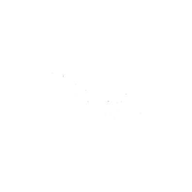 CC(C)(CO)CCC(C)(C)C[S+]([O-])CCCCCCO